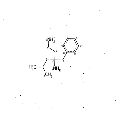 CC(C)CC(N)(CCN)Cc1ccccc1